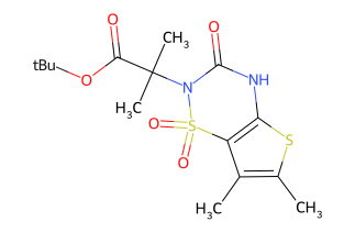 Cc1sc2c(c1C)S(=O)(=O)N(C(C)(C)C(=O)OC(C)(C)C)C(=O)N2